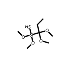 CCC(OC)(OC)[Si](S)(OC)OC